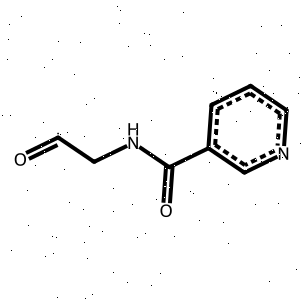 O=[C]CNC(=O)c1cccnc1